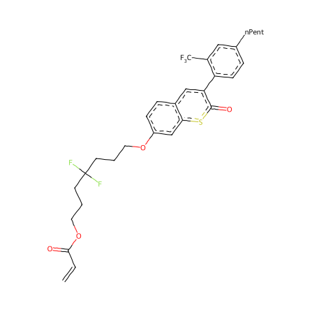 C=CC(=O)OCCCC(F)(F)CCCOc1ccc2cc(-c3ccc(CCCCC)cc3C(F)(F)F)c(=O)sc2c1